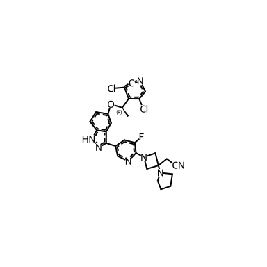 C[C@@H](Oc1ccc2[nH]nc(-c3cnc(N4CC(CC#N)(N5CCCC5)C4)c(F)c3)c2c1)c1c(Cl)cncc1Cl